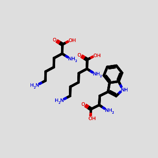 NC(Cc1c[nH]c2ccccc12)C(=O)O.NCCCCC(N)C(=O)O.NCCCCC(N)C(=O)O